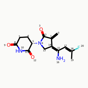 C=C1C(=O)N([C@H]2CCC(=O)NC2=O)C/C1=C(N)/C=C(\C)F